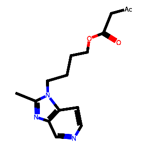 CC(=O)CC(=O)OCCCCn1c(C)nc2cnccc21